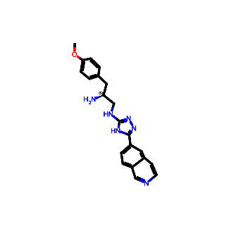 COc1ccc(C[C@H](N)CNc2nnc(-c3ccc4cnccc4c3)[nH]2)cc1